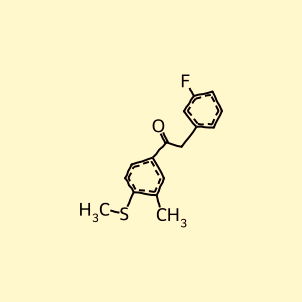 CSc1ccc(C(=O)Cc2cccc(F)c2)cc1C